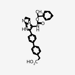 CC(OC(=O)Nc1c(-c2ccc(-c3ccc(CC(=O)O)cc3)cc2)[nH]c2nccn12)c1ccccc1